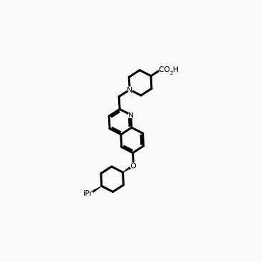 CC(C)[C@H]1CC[C@@H](Oc2ccc3nc(CN4CCC(C(=O)O)CC4)ccc3c2)CC1